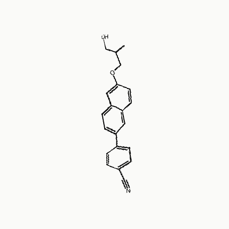 CC(CO)COc1ccc2cc(-c3ccc(C#N)cc3)ccc2c1